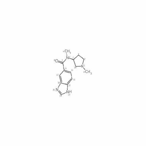 CN1CCC(N(C)C(=O)c2ccc3[nH]cnc3c2)C1